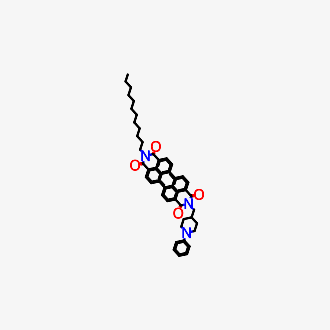 CCCCCCCCCCCCN1C(=O)c2ccc3c4ccc5c6c(ccc(c7ccc(c2c37)C1=O)c64)C(=O)N(CC1CCN(c2ccccc2)CC1)C5=O